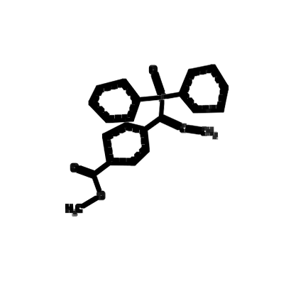 C=C=C(c1ccc(C(=O)OC)cc1)P(=O)(c1ccccc1)c1ccccc1